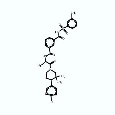 Cc1cccc(S(=O)(=O)NC(=O)c2cccc(C(=O)N[C@@H](C(=O)N3CC[C@H](c4ccc(Cl)cc4)C(C)(C)C3)C(C)C)c2)c1